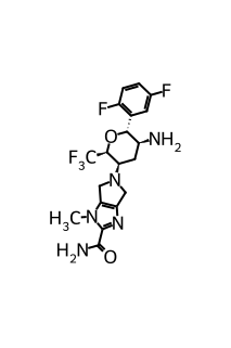 Cn1c(C(N)=O)nc2c1CN([C@@H]1C[C@H](N)[C@@H](c3cc(F)ccc3F)O[C@@H]1C(F)(F)F)C2